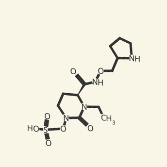 CCN1C(=O)N(OS(=O)(=O)O)CC[C@H]1C(=O)NOCC1CCCN1